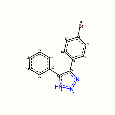 Brc1ccc(-c2nn[nH]c2-c2ccccc2)cc1